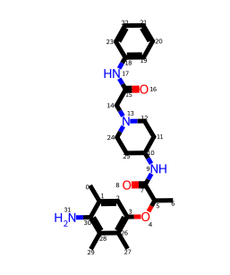 Cc1cc(OC(C)C(=O)NC2CCN(CC(=O)Nc3ccccc3)CC2)c(C)c(C)c1N